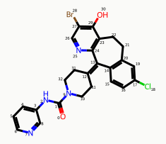 O=C(Nc1cccnc1)N1CCC(=C2c3ccc(Cl)cc3CCc3c2ncc(Br)c3O)CC1